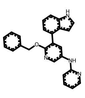 c1ccc(COc2ncc(Nc3ccccn3)cc2-c2cccc3[nH]ccc23)cc1